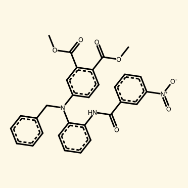 COC(=O)c1ccc(N(Cc2ccccc2)c2ccccc2NC(=O)c2cccc([N+](=O)[O-])c2)cc1C(=O)OC